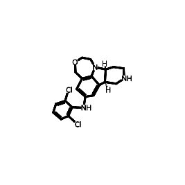 Clc1cccc(Cl)c1Nc1cc2c3c(c1)[C@@H]1CNCC[C@@H]1N3CCOC2